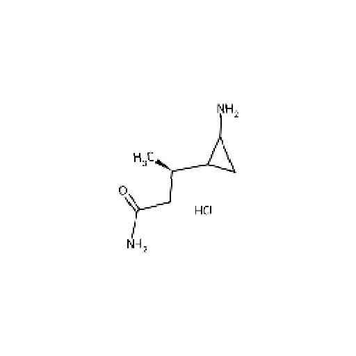 C[C@H](CC(N)=O)C1CC1N.Cl